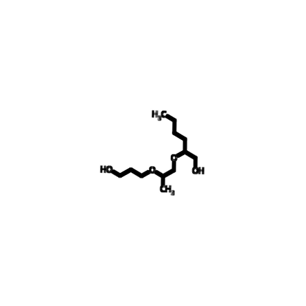 CCCCC(CO)OCC(C)OCCCO